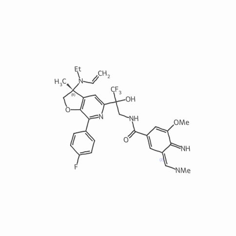 C=CN(CC)[C@@]1(C)COc2c1cc(C(O)(CNC(=O)C1=C/C(=C/NC)C(=N)C(OC)=C1)C(F)(F)F)nc2-c1ccc(F)cc1